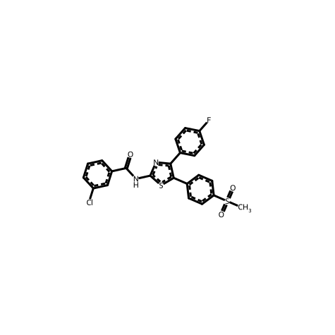 CS(=O)(=O)c1ccc(-c2sc(NC(=O)c3cccc(Cl)c3)nc2-c2ccc(F)cc2)cc1